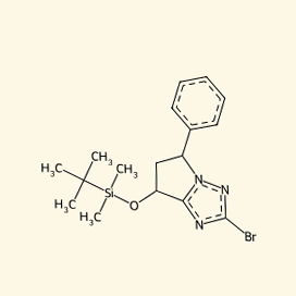 CC(C)(C)[Si](C)(C)OC1CC(c2ccccc2)n2nc(Br)nc21